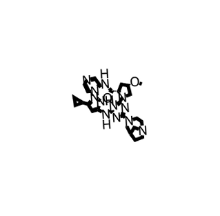 CO[C@H]1C[C@@H](C(=O)Nc2cnccn2)N(c2nc(Nc3cc(C4CC4)n[nH]3)nc(N3CCN4CCC(C4)C3)n2)C1